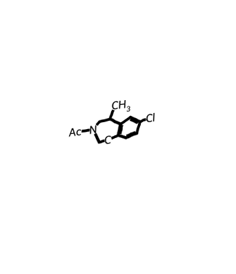 CC(=O)N1CCc2ccc(Cl)cc2C(C)C1